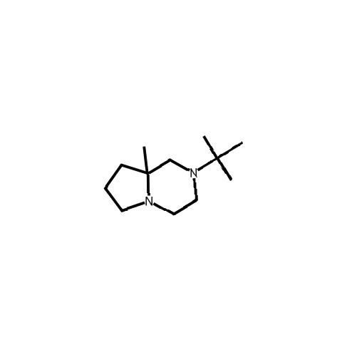 CC(C)(C)N1CCN2CCCC2(C)C1